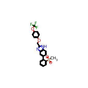 CS(=O)(=O)c1ccccc1-c1ccc2[nH]c(COc3ccc(OC(F)(F)F)cc3)nc2c1